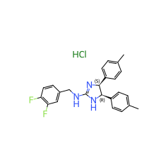 Cc1ccc([C@H]2NC(NCc3ccc(F)c(F)c3)=N[C@H]2c2ccc(C)cc2)cc1.Cl